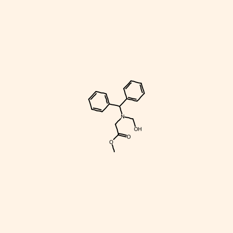 COC(=O)CN(CO)C(c1ccccc1)c1ccccc1